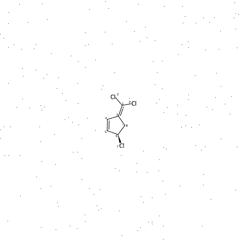 ClC(Cl)=C1C=C[C@H](Cl)C1